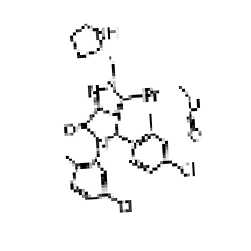 COC=O.Cc1cc(Cl)ccc1C1c2c(nn(C[C@@H]3CCCN3)c2C(C)C)C(=O)N1c1cc(Cl)ccc1C